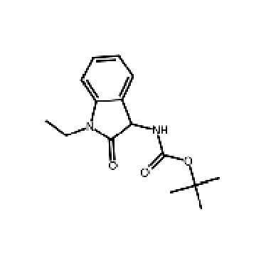 CCN1C(=O)C(NC(=O)OC(C)(C)C)c2ccccc21